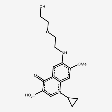 COc1cc2c(cc1NCCOCCO)c(=O)c(C(=O)O)cn2C1CC1